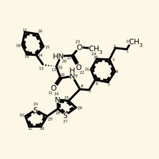 CCCc1ccc(CC(NC(=O)[C@H](Cc2ccccc2)NC(=O)OC)c2csc(-c3cccs3)n2)cc1